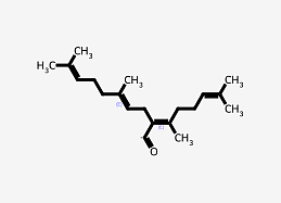 CC(C)=CCC/C(C)=C/C/C([C]=O)=C(/C)CCC=C(C)C